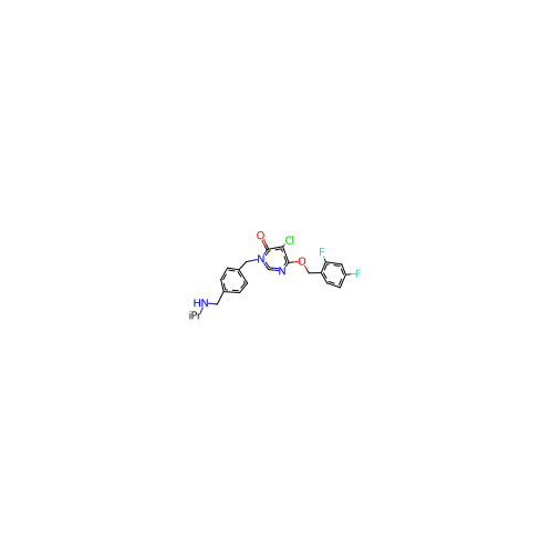 CC(C)NCc1ccc(Cn2cnc(OCc3ccc(F)cc3F)c(Cl)c2=O)cc1